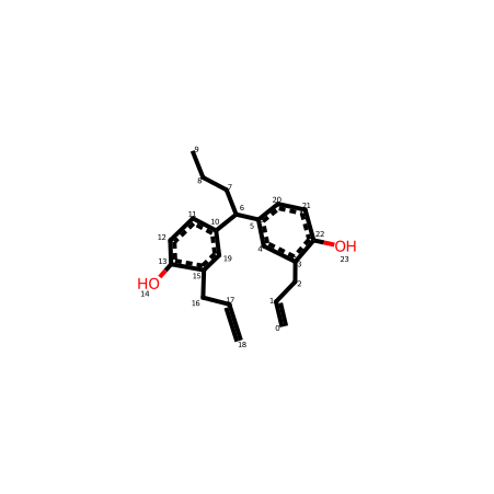 C=CCc1cc(C(CCC)c2ccc(O)c(CC=C)c2)ccc1O